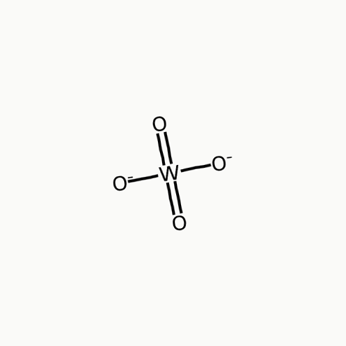 [O]=[W](=[O])([O-])[O-]